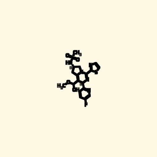 COC(O)C1=C2C[C@H](NS(C)(=O)=O)CN2C(c2nccs2)=N[C@H]1c1ccc(F)cn1